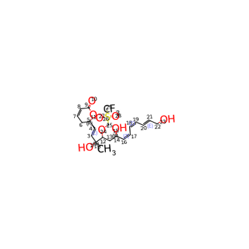 C[C@@](O)(/C=C/[C@H]1CC=CC(=O)O1)C(C[C@@H](O)\C=C/C=C\C=C\CO)OCS(=O)(=O)C(F)(F)F